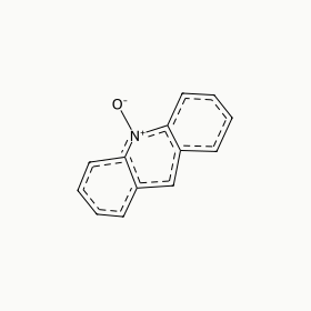 [O-][n+]1c2ccccc2cc2ccccc21